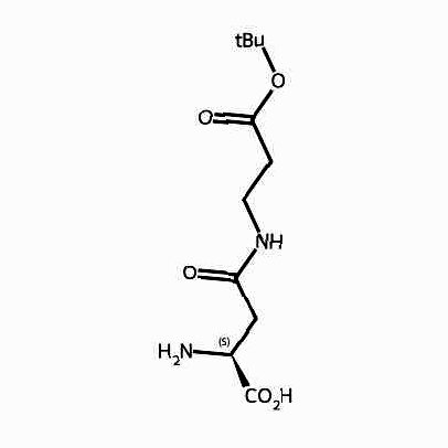 CC(C)(C)OC(=O)CCNC(=O)C[C@H](N)C(=O)O